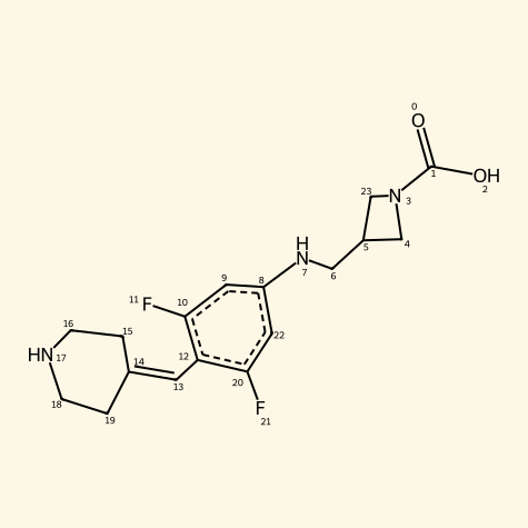 O=C(O)N1CC(CNc2cc(F)c(C=C3CCNCC3)c(F)c2)C1